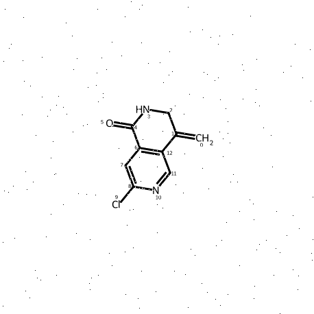 C=C1CNC(=O)c2cc(Cl)ncc21